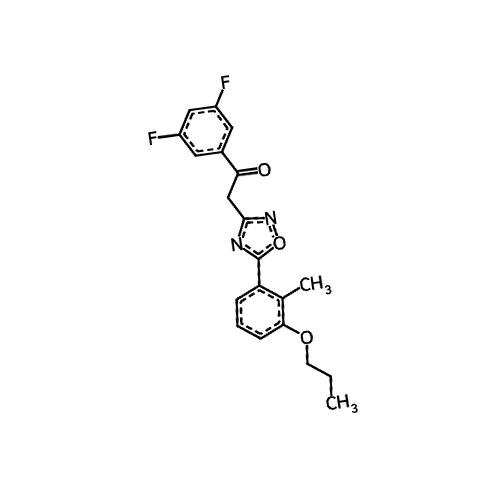 CCCOc1cccc(-c2nc(CC(=O)c3cc(F)cc(F)c3)no2)c1C